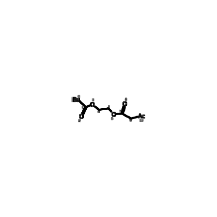 CCC(C)C(=O)OCCOC(=O)CC(C)=O